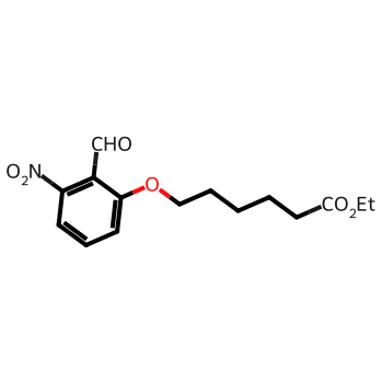 CCOC(=O)CCCCCOc1cccc([N+](=O)[O-])c1C=O